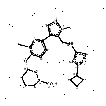 Cc1nc(-c2nnn(C)c2CNc2cnn(C3CCC3)n2)ccc1O[C@H]1CCC[C@H](C(=O)O)C1